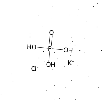 O=P(O)(O)O.[Cl-].[K+]